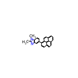 Cc1nc2cc(-c3ccc4ccc5cccc6ccc3c4c56)ccc2n1C